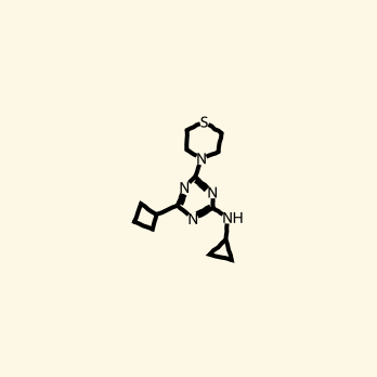 C1CC(c2nc(NC3CC3)nc(N3CCSCC3)n2)C1